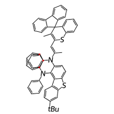 CC1=C(/C=C(\C)N(c2ccc3sc4cc(C(C)(C)C)ccc4c3c2N(c2ccccc2)c2ccccc2)C2C=CC=CC=C2)Sc2ccccc2C12c1ccccc1-c1ccccc12